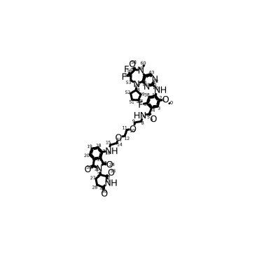 COc1cc(C(=O)NCCOCCOCCNc2cccc3c2C(=O)N(C2CCC(=O)NC2=O)C3=O)c(F)cc1Nc1ncc2c(n1)N(C1CCCC1)CC(F)(F)C(=O)N2C